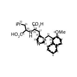 COc1ccc2ccccc2c1Cn1cncc1C[C@H](NC(CC(C)C)C(=O)O)C(=O)O